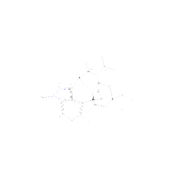 CCC1(O)CC(C)CC(N(C(=O)C(C)(C)c2nn(C)c3ccc(F)c(C4CC4)c23)C(C)C)C1